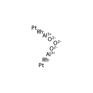 [Al+3].[Al+3].[O-2].[O-2].[O-2].[Pt].[Pt].[Rh].[Rh]